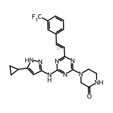 O=C1CN(c2nc(/C=C/c3cccc(C(F)(F)F)c3)nc(Nc3cc(C4CC4)[nH]n3)n2)CCN1